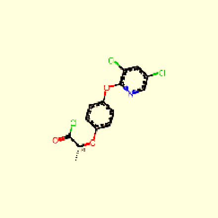 C[C@@H](Oc1ccc(Oc2ncc(Cl)cc2Cl)cc1)C(=O)Cl